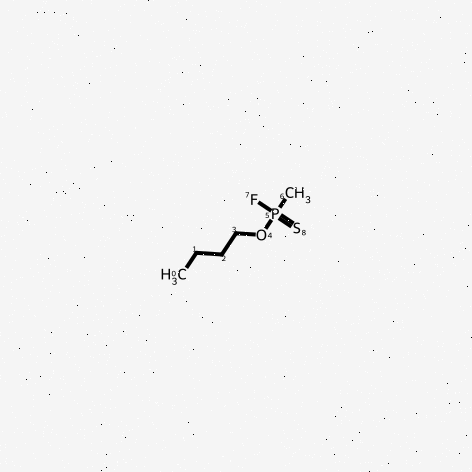 CCCCOP(C)(F)=S